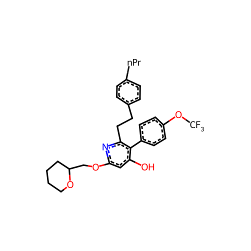 CCCc1ccc(CCc2nc(OCC3CCCCO3)cc(O)c2-c2ccc(OC(F)(F)F)cc2)cc1